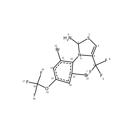 NC1SC=C(C(F)(F)F)N1c1c(Br)cc(OC(F)(F)F)cc1Br